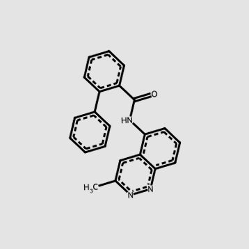 Cc1cc2c(NC(=O)c3ccccc3-c3ccccc3)cccc2nn1